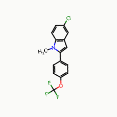 Cn1c(-c2ccc(OC(F)(F)F)cc2)cc2cc(Cl)ccc21